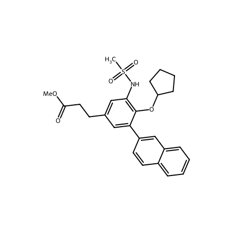 COC(=O)CCc1cc(NS(C)(=O)=O)c(OC2CCCC2)c(-c2ccc3ccccc3c2)c1